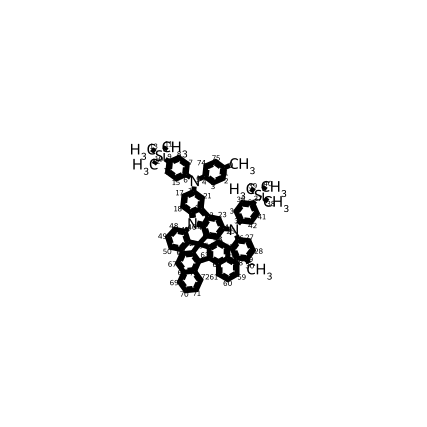 Cc1ccc(N(c2ccc([Si](C)(C)C)cc2)c2ccc3c(c2)c2cc(N(c4ccc(C)cc4)c4ccc([Si](C)(C)C)cc4)cc4c2n3-c2ccccc2C42c3ccc4ccccc4c3-c3c2ccc2ccccc32)cc1